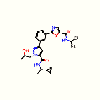 CCC(CC)NC(=O)c1cnc(-c2cccc(-c3cc(C(=O)NC(C)C4CC4)n(CC(C)O)n3)c2)o1